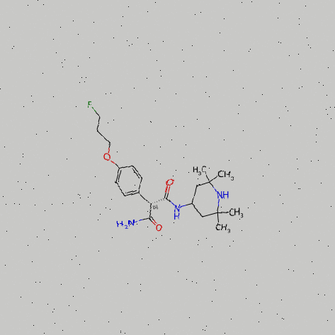 CC1(C)CC(NC(=O)[C@H](C(N)=O)c2ccc(OCCCF)cc2)CC(C)(C)N1